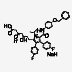 CC(C)n1c(CC[C@H](O)C[C@@H](O)CC(=O)O)c(-c2ccc(F)cc2)c(-c2ccc(F)cc2)c1C(=O)Nc1ccc(OCc2ccccc2)cc1.[NaH]